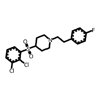 O=S(=O)(c1cccc(Cl)c1Cl)C1CCN(CCc2ccc(F)cc2)CC1